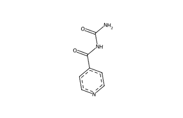 NC(=O)NC(=O)c1ccncc1